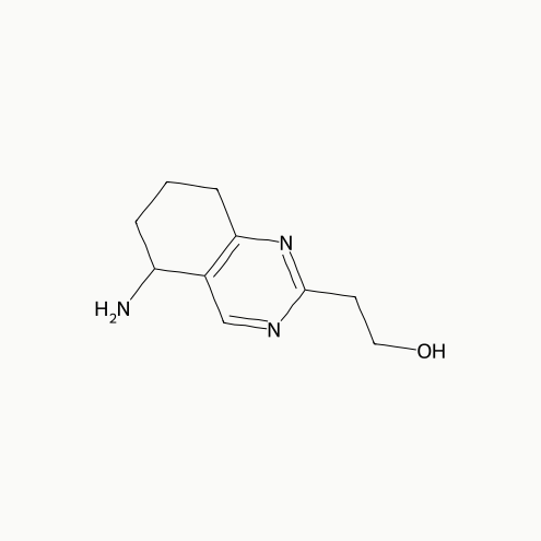 NC1CCCc2nc(CCO)ncc21